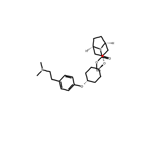 CN(C)CCc1ccc(O[C@H]2CC[C@H](O[C@@H]3C[C@H]4CC[C@@H](C3)N4C(=O)OC(C)(C)C)CC2)cc1